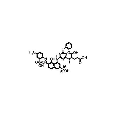 Cc1ccc(N=Nc2ccc3cc(S(=O)(=O)O)cc(Nc4nc(NC(CCC(=O)O)C(=O)O)nc(Oc5ccccc5)n4)c3c2O)c(S(=O)(=O)O)c1